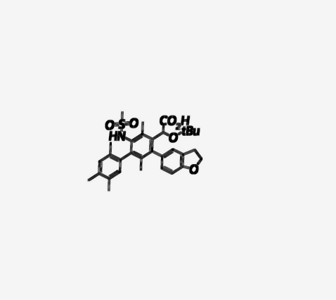 Cc1cc(C)c(-c2c(C)c(-c3ccc4c(c3)CCO4)c(C(OC(C)(C)C)C(=O)O)c(C)c2NS(C)(=O)=O)cc1C